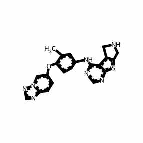 Cc1cc(Nc2ncnc3sc4c(c23)CNC4)ccc1Oc1ccc2ncnn2c1